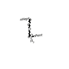 CCCCCCCOCCOCCOCCCC(=O)OC(C)CCCCC